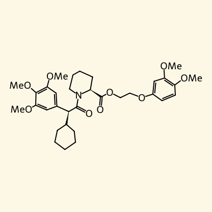 COc1ccc(OCCOC(=O)[C@@H]2CCCCN2C(=O)[C@H](c2cc(OC)c(OC)c(OC)c2)C2CCCCC2)cc1OC